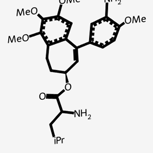 COc1ccc(C2=C[C@@H](OC(=O)C(N)CC(C)C)CCc3c2cc(OC)c(OC)c3OC)cc1N